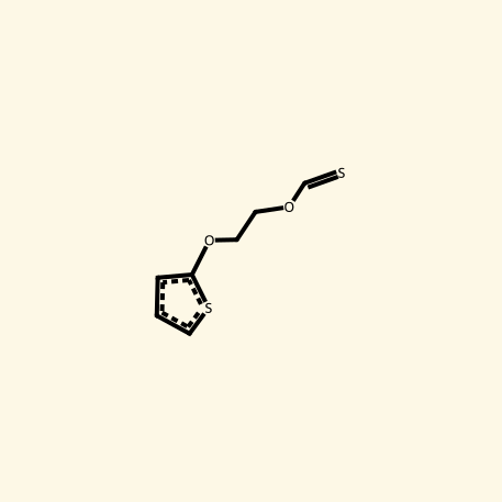 S=COCCOc1cccs1